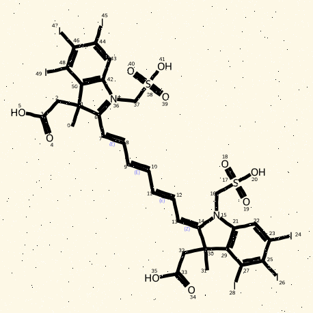 CC1(CC(=O)O)C(/C=C/C=C/C=C/C=C2\N(CS(=O)(=O)O)c3cc(I)c(I)c(I)c3C2(C)CC(=O)O)=[N+](CS(=O)(=O)O)c2cc(I)c(I)c(I)c21